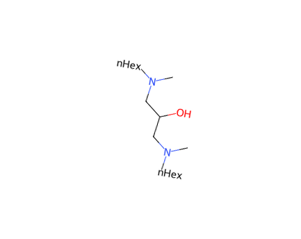 CCCCCCN(C)CC(O)CN(C)CCCCCC